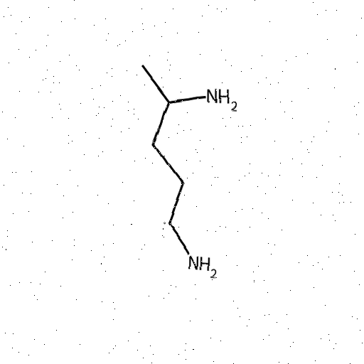 CC(N)CC[CH]N